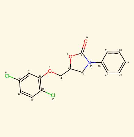 O=C1OC(COc2cc(Cl)ccc2Cl)CN1c1ccccc1